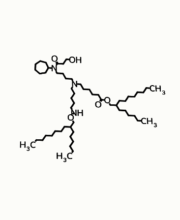 CCCCCCCCC(CCCCCC)CONCCCCCN(CCCCCC(=O)OCC(CCCCCC)CCCCCCCC)CCCCN(C(=O)CCO)C1CCCCCC1